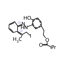 C/C(CI)=C1\C=CC=C\C1=N\Nc1cc(CCOC(=O)C(C)C)ccc1O